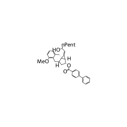 CCCCC[C@H](O)/C=C1/[C@H]2[C@H](OC(=O)c3ccc(-c4ccccc4)cc3)C[C@@H]3Cc4c(cccc4OC)C[C@@]132